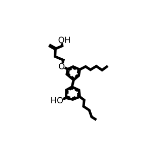 C=C(CO)CCOc1cc(CCCCC)cc(-c2cc(O)cc(CCCCC)c2)c1